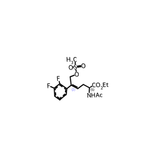 CCOC(=O)[C@H](C/C=C(\COS(C)(=O)=O)c1cccc(F)c1F)NC(C)=O